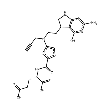 C#CCN(CCC1CNc2nc(N)nc(O)c21)c1ccc(C(=O)N[C@@H](CCC(=O)O)C(=O)O)s1